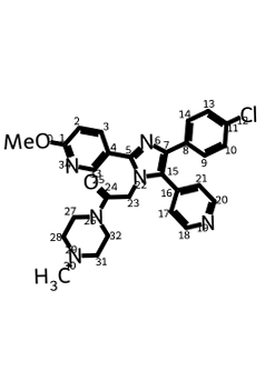 COc1ccc(-c2nc(-c3ccc(Cl)cc3)c(-c3ccncc3)n2CC(=O)N2CCN(C)CC2)cn1